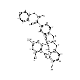 CN(Cc1ccccc1)C(=O)c1ccc(CN(Cc2ccc(F)cc2)S(=O)(=O)c2cc(Cl)cc(Cl)c2O)cc1